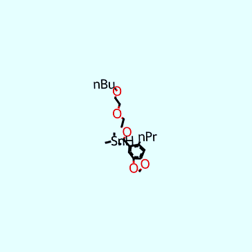 CCCCOCCOCCOCc1cc2c(cc1CCC)OCO2.[CH3][SnH]([CH3])[CH3]